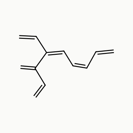 C=C/C=C\C=C(\C=C)C(=C)C=C